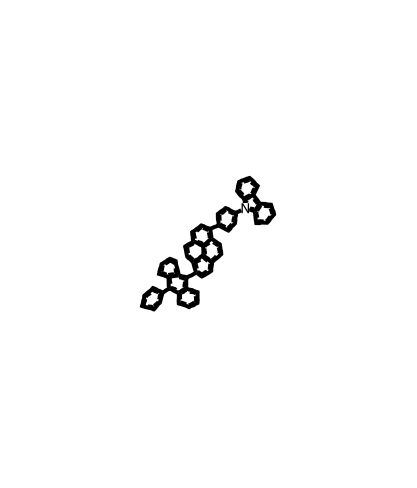 c1ccc(-c2c3ccccc3c(-c3ccc4ccc5c(-c6ccc(-n7c8ccccc8c8ccccc87)cc6)ccc6ccc3c4c65)c3ccccc23)cc1